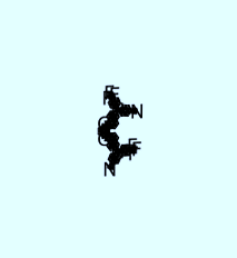 N#Cc1ccc(N(c2ccc(C(F)(F)F)cc2)c2ccc3c(ccc4c3oc3ccc5oc6c7ccc(N(c8ccc(C#N)cc8)c8ccc(C(F)(F)F)cc8)cc7ccc6c5c34)c2)cc1